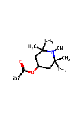 CCC(C)C(=O)OC1CC(C)(C)N(C#N)C(C)(C)C1